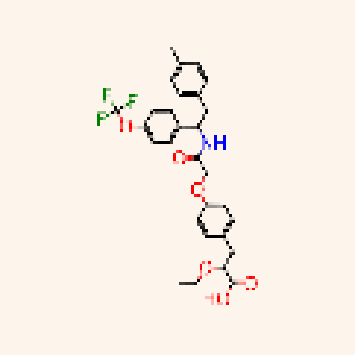 CCO[C@@H](Cc1ccc(OCC(=O)NC(Cc2ccc(C)cc2)c2ccc(OC(F)(F)F)cc2)cc1)C(=O)O